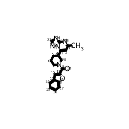 Cc1cc(C2CCCN(C(=O)c3cc4ccccc4o3)C2)n2ncnc2n1